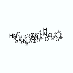 O=C(NC1CCN(S(=O)(=O)C2CCN(CC3CCNCC3)CC2)CC1)OCc1ccccc1